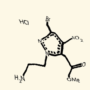 COC(=O)c1c([N+](=O)[O-])c(Br)nn1CCN.Cl